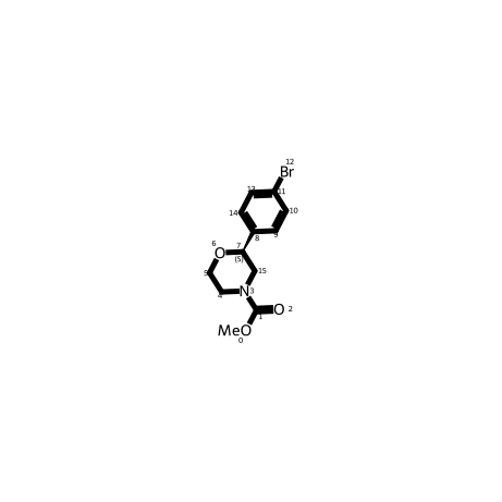 COC(=O)N1CCO[C@@H](c2ccc(Br)cc2)C1